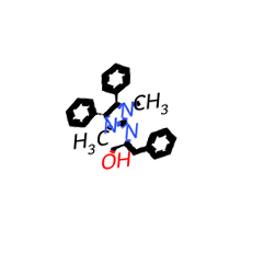 CN1C(=N[C@H](CO)Cc2ccccc2)N(C)[C@H](c2ccccc2)[C@H]1c1ccccc1